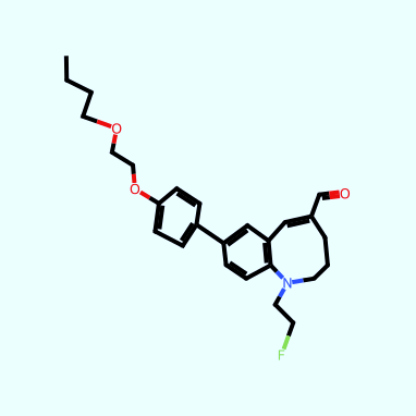 CCCCOCCOc1ccc(-c2ccc3c(c2)/C=C(/C=O)CCCN3CCF)cc1